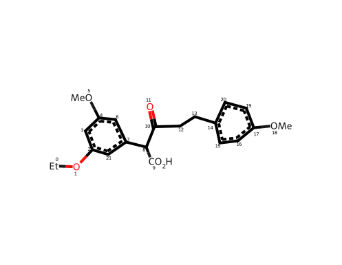 CCOc1cc(OC)cc(C(C(=O)O)C(=O)CCc2ccc(OC)cc2)c1